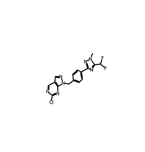 Cn1nc(-c2ccc(Cn3ncc4cnc(Cl)nc43)cc2)nc1C(F)F